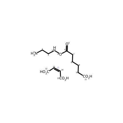 NCCNOC(=O)CCCCC(=O)O.O=C(O)/C=C\C(=O)O